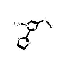 CCOc1cn(C)c(-c2nccs2)n1